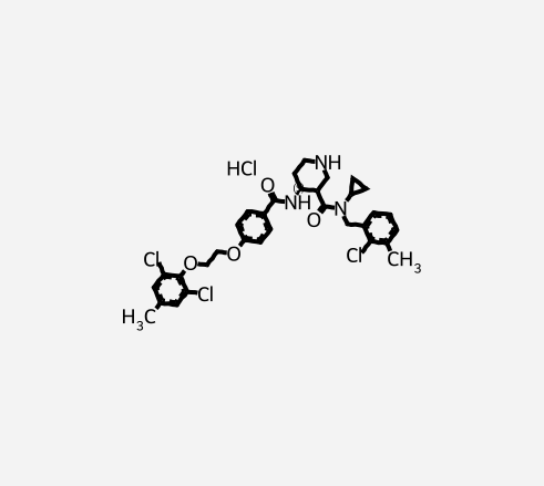 Cc1cc(Cl)c(OCCOc2ccc(C(=O)N[C@H]3CCNCC3C(=O)N(Cc3cccc(C)c3Cl)C3CC3)cc2)c(Cl)c1.Cl